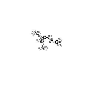 Cc1cc(OCC(=O)NC[C@@H](O)c2ccc(OCOCC[Si](C)(C)C)c(N(COCC[Si](C)(C)C)S(C)(=O)=O)c2)cc(C)c1Br